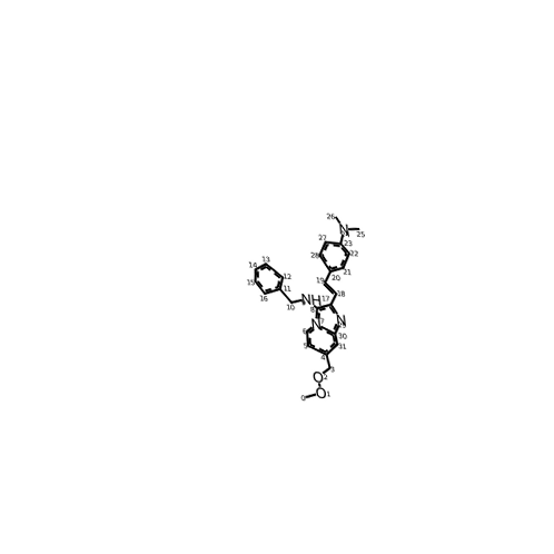 COOCc1ccn2c(NCc3ccccc3)c(/C=C/c3ccc(N(C)C)cc3)nc2c1